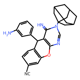 [C-]#[N+]c1ccc2c(c1)Oc1ncn(C34CC5CC(CC(C5)C3)C4)c(=N)c1C2c1cccc(N)c1